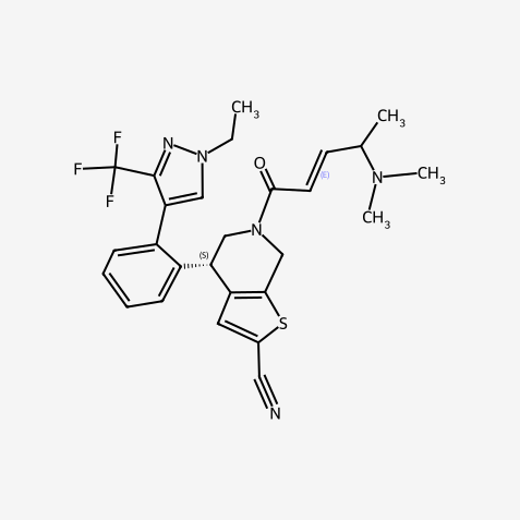 CCn1cc(-c2ccccc2[C@@H]2CN(C(=O)/C=C/C(C)N(C)C)Cc3sc(C#N)cc32)c(C(F)(F)F)n1